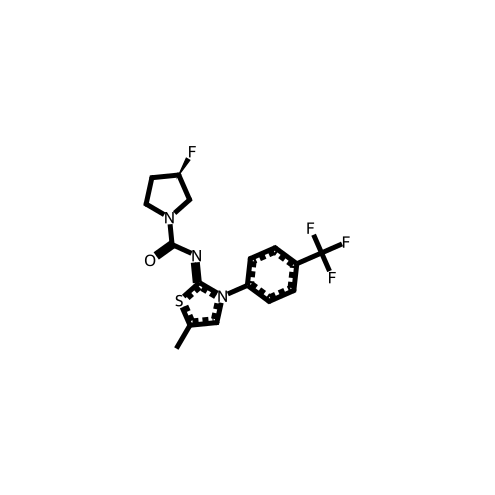 Cc1cn(-c2ccc(C(F)(F)F)cc2)/c(=N/C(=O)N2CC[C@@H](F)C2)s1